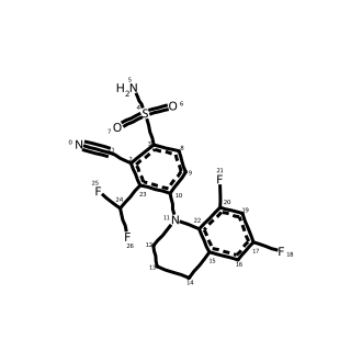 N#Cc1c(S(N)(=O)=O)ccc(N2CCCc3cc(F)cc(F)c32)c1C(F)F